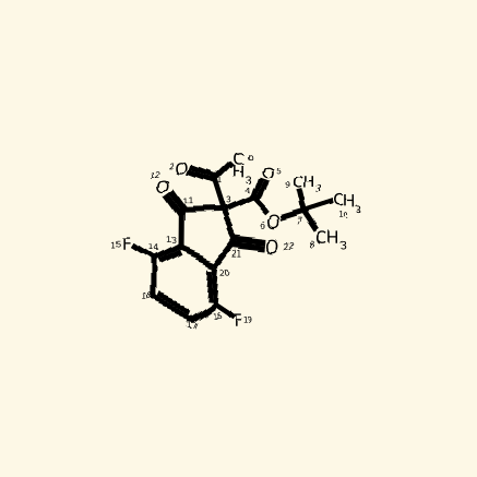 CC(=O)C1(C(=O)OC(C)(C)C)C(=O)c2c(F)ccc(F)c2C1=O